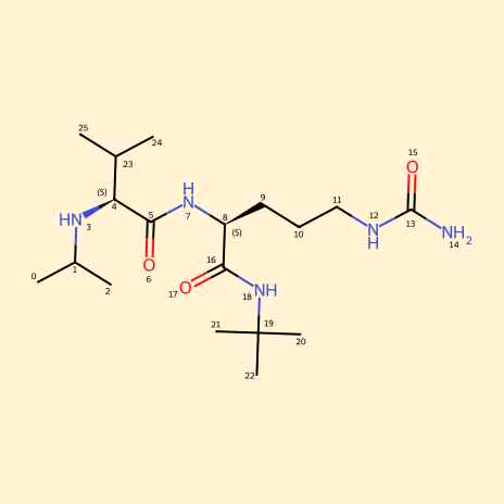 CC(C)N[C@H](C(=O)N[C@@H](CCCNC(N)=O)C(=O)NC(C)(C)C)C(C)C